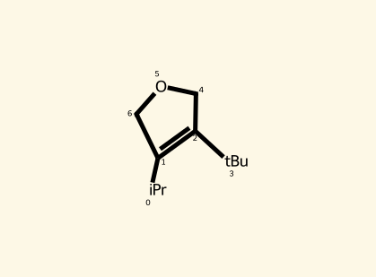 CC(C)C1=C(C(C)(C)C)COC1